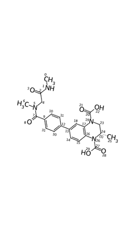 CNC(=O)CN(C)C(=O)c1ccc(-c2ccc3c(c2)N(C(=O)O)C[C@H](C)N3C(=O)O)cc1